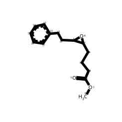 COC(=O)CCCC1OC1CCc1ccccc1